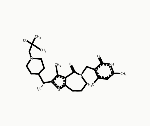 CCC(C)(C)CN1CCC([C@@H](C)c2sc3c(c2C)C(=O)N(Cc2c(C)cc(C)[nH]c2=O)CCC3)CC1